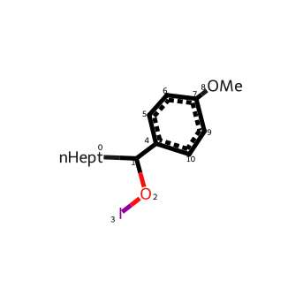 CCCCCCCC(OI)c1ccc(OC)cc1